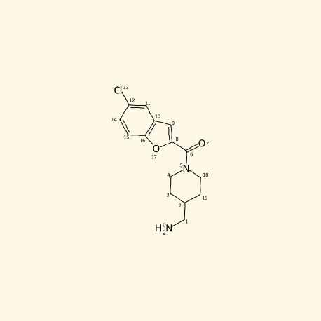 NCC1CCN(C(=O)c2cc3cc(Cl)ccc3o2)CC1